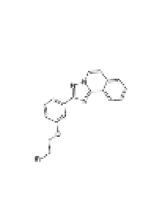 CC(C)CCOc1cccc(-c2nc3c4ccccc4ccn3n2)c1